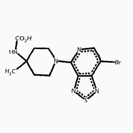 CC1(NC(=O)O)CCN(c2ncc(Br)c3nsnc23)CC1